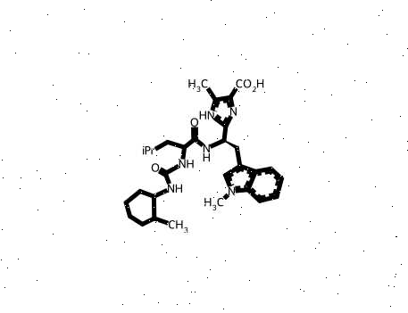 Cc1[nH]c([C@@H](Cc2cn(C)c3ccccc23)NC(=O)C(CC(C)C)NC(=O)NC2CCCCC2C)nc1C(=O)O